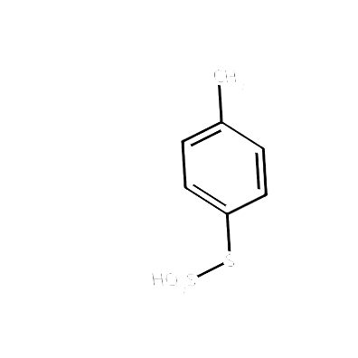 Cc1ccc(SS(=O)(=O)O)cc1